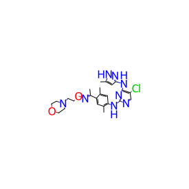 C/C(=N\OCCN1CCOCC1)c1cc(C)c(Nc2ncc(Cl)c(Nc3cc(C)[nH]n3)n2)cc1C